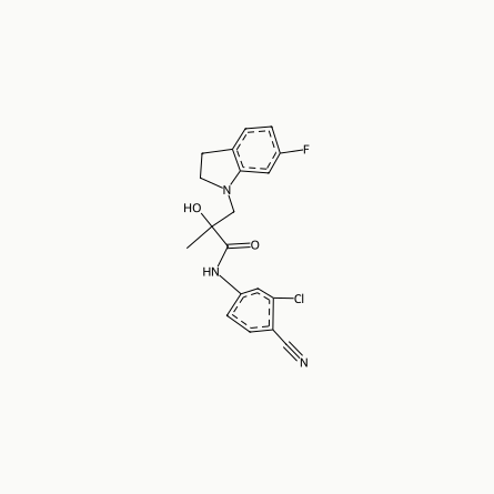 CC(O)(CN1CCc2ccc(F)cc21)C(=O)Nc1ccc(C#N)c(Cl)c1